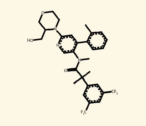 Cc1ccccc1-c1cc(N2CCOCC2CO)ncc1N(C)C(=O)C(C)(C)c1cc(C(F)(F)F)cc(C(F)(F)F)c1